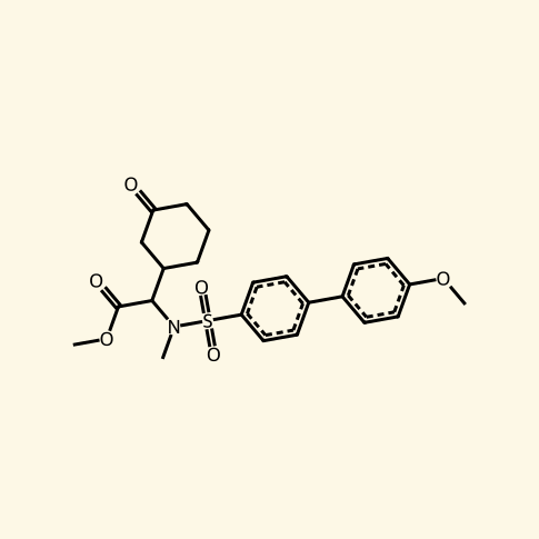 COC(=O)C(C1CCCC(=O)C1)N(C)S(=O)(=O)c1ccc(-c2ccc(OC)cc2)cc1